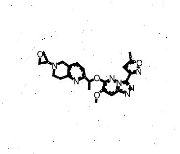 COc1cc2nnc(-c3cc(C)on3)n2nc1OC(C)c1ccc2c(n1)CCN(C1COC1)C2